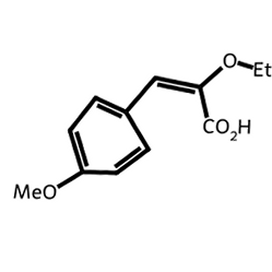 CCO/C(=C/c1ccc(OC)cc1)C(=O)O